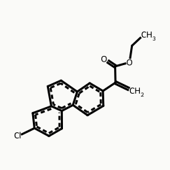 C=C(C(=O)OCC)c1ccc2c(ccc3cc(Cl)ccc32)c1